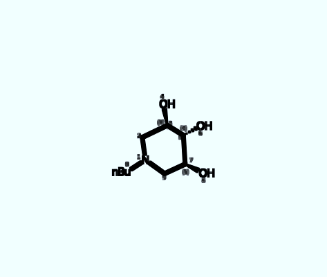 CCCCN1C[C@@H](O)[C@H](O)[C@@H](O)C1